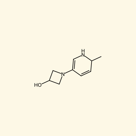 CC1C=CC(N2CC(O)C2)=CN1